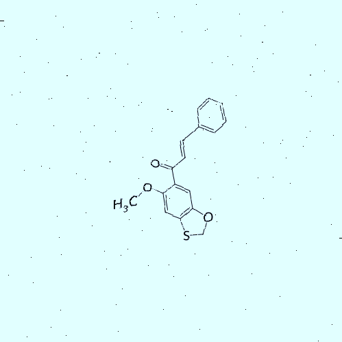 COc1cc2c(cc1C(=O)C=Cc1ccccc1)OCS2